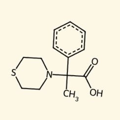 CC(C(=O)O)(c1ccccc1)N1CCSCC1